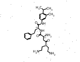 Cc1cc(NC(=O)[C@H](CCc2ccccc2)NC(=O)[C@@H](N)CC(=O)N(CCN)CCN)ccc1C(C)C